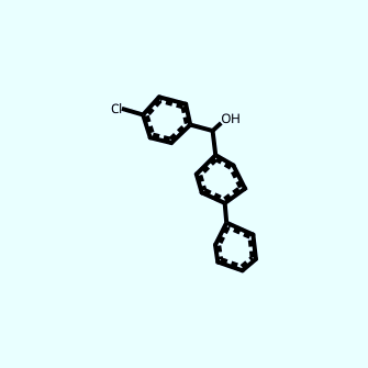 OC(c1ccc(Cl)cc1)c1ccc(-c2ccccc2)cc1